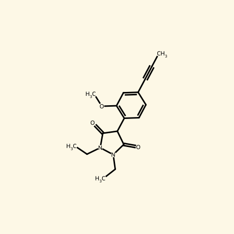 CC#Cc1ccc(C2C(=O)N(CC)N(CC)C2=O)c(OC)c1